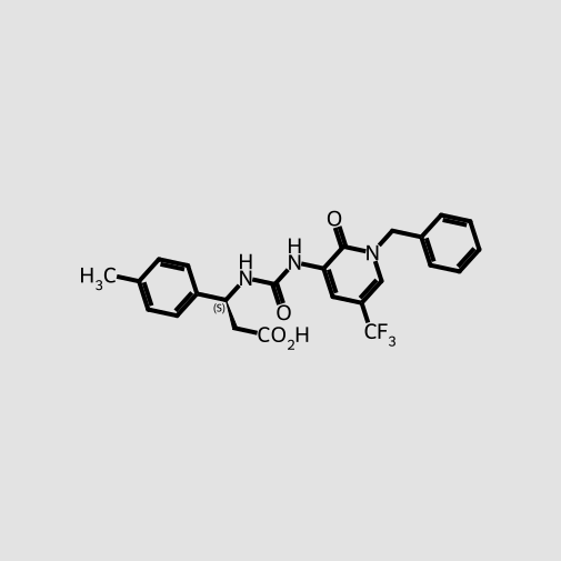 Cc1ccc([C@H](CC(=O)O)NC(=O)Nc2cc(C(F)(F)F)cn(Cc3ccccc3)c2=O)cc1